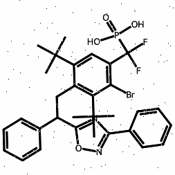 CC(C)(C)c1cc(C(F)(F)P(=O)(O)O)c(Br)c(C(C)(C)C)c1CC(c1ccccc1)c1nc(-c2ccccc2)no1